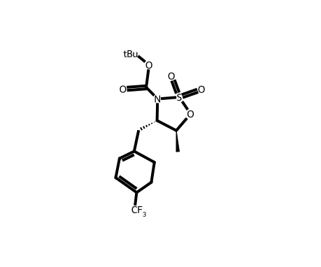 C[C@@H]1OS(=O)(=O)N(C(=O)OC(C)(C)C)[C@H]1CC1=CC=C(C(F)(F)F)CC1